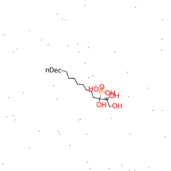 CCCCCCCCCCCCCCCCCCC(O)([C@@H](O)CO)P(=O)(O)O